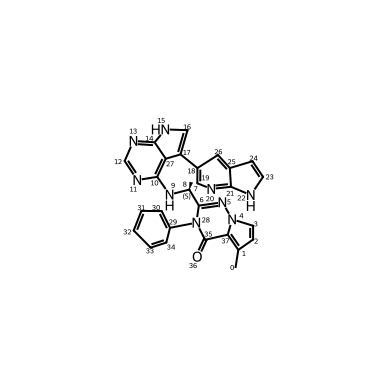 Cc1ccn2nc([C@H](C)Nc3ncnc4[nH]cc(-c5cnc6[nH]ccc6c5)c34)n(-c3ccccc3)c(=O)c12